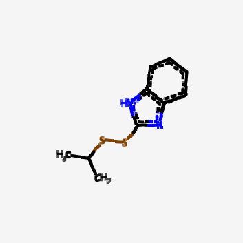 CC(C)SSc1nc2ccccc2[nH]1